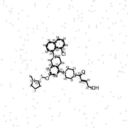 CN1CCC[C@H]1COc1nc2c(c(N3CCN(C(=O)/C=C/CO)CC3)n1)CCN(c1cccc3cccc(Cl)c13)C2